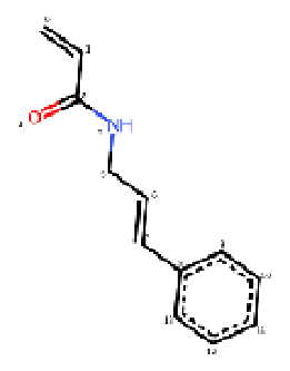 C=CC(=O)NC/C=C/c1ccccc1